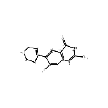 Cc1nc2cc(F)c(C3=CCOCC3)cc2c(=O)[nH]1